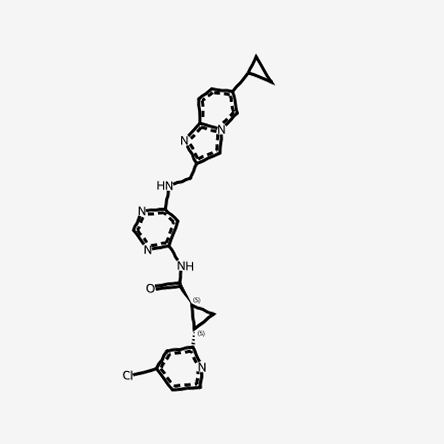 O=C(Nc1cc(NCc2cn3cc(C4CC4)ccc3n2)ncn1)[C@H]1C[C@@H]1c1cc(Cl)ccn1